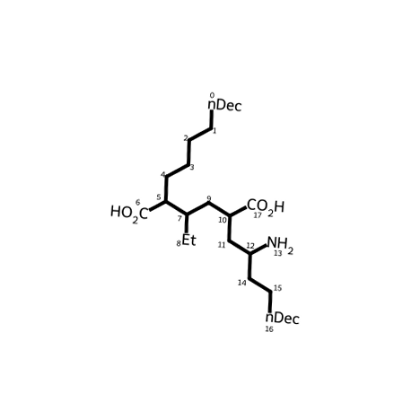 CCCCCCCCCCCCCCC(C(=O)O)C(CC)CC(CC(N)CCCCCCCCCCCC)C(=O)O